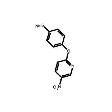 CSc1ccc(Oc2ccc([N+](=O)[O-])cn2)cc1